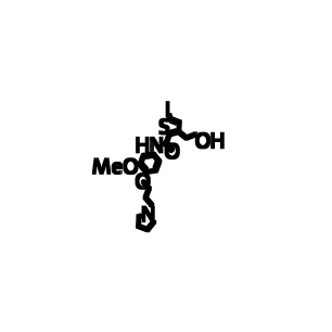 COc1cc(NC(=O)c2sc(I)cc2CCO)ccc1OCCCN1CCCC1